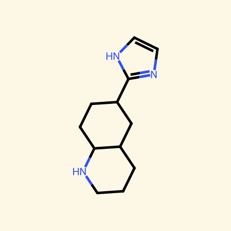 c1c[nH]c(C2CCC3NCCCC3C2)n1